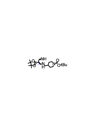 CC(C)(C)OC(=O)N1CCC(CN/C=C(\C=N)B2OC(C)(C)C(C)(C)O2)CC1